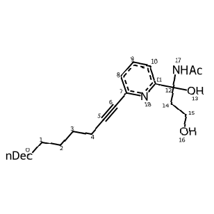 CCCCCCCCCCCCCCC#Cc1cccc(C(O)(CCO)NC(C)=O)n1